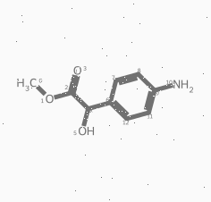 COC(=O)C(O)c1ccc(N)cc1